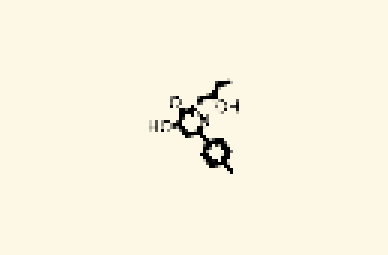 CCC(O)CN1N=C(c2ccc(C)cc2)CC(O)C1=O